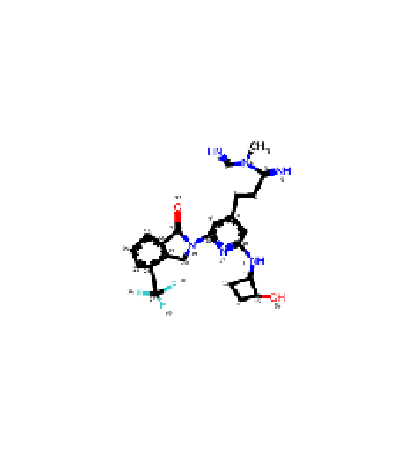 CN(C=N)C(=N)CCc1cc(NC2CCC2O)nc(N2Cc3c(cccc3C(F)(F)F)C2=O)c1